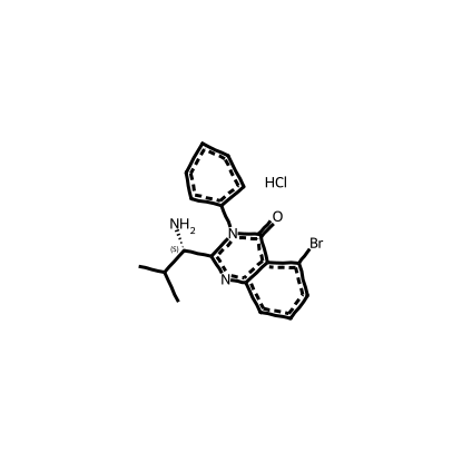 CC(C)[C@H](N)c1nc2cccc(Br)c2c(=O)n1-c1ccccc1.Cl